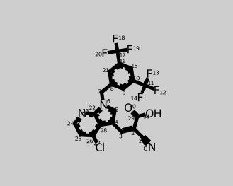 N#CC(=Cc1cn(Cc2cc(C(F)(F)F)cc(C(F)(F)F)c2)c2nccc(Cl)c12)C(=O)O